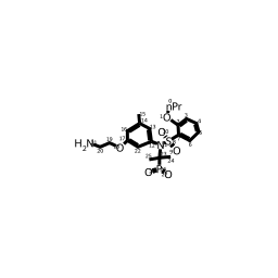 CCCOc1ccccc1S(=O)(=O)N(c1cc(C)cc(OCCN)c1)C(C)(C)P(=O)=O